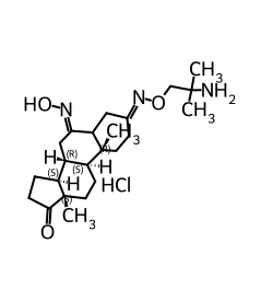 CC(C)(N)CON=C1CC[C@@]2(C)C(C1)C(=NO)C[C@@H]1[C@@H]2CC[C@]2(C)C(=O)CC[C@@H]12.Cl